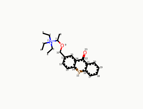 CC[N+](CC)(CC)C(C)OCc1ccc2sc3ccccc3c(=O)c2c1